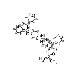 CN(C)C(=O)Cn1c(=O)n(C2CCOCC2)c2nc(N[C@H]3CC[C@@H](Oc4nc(N5CCOCC5)cc5ncccc45)CC3)ncc21